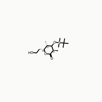 C[C@@H]1C(O[Si](C)(C)C(C)(C)C)[C@@H](C)C(=O)O[C@@H]1CCO